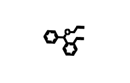 C=CCOC(c1ccccc1)c1ccccc1C=C